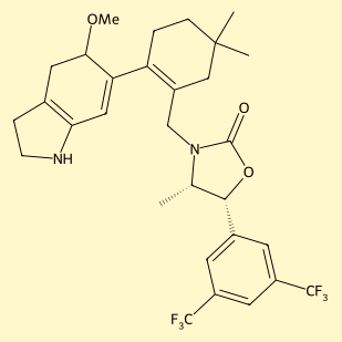 COC1CC2=C(C=C1C1=C(CN3C(=O)O[C@H](c4cc(C(F)(F)F)cc(C(F)(F)F)c4)[C@@H]3C)CC(C)(C)CC1)NCC2